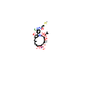 COc1cc2cc(c1-c1ccc(NC(=O)CCSSC)c(Cl)c1)N(C)C(=O)C[C@H](OC(=O)C(C)C)[C@]1(C)O[C@H]1[C@H](C)[C@@H]1CC(O)(NC(=O)O1)[C@H](OC)/C=C/C=C(\C)C2